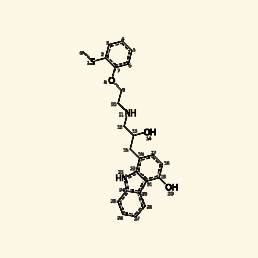 CSc1ccccc1OCCNCC(O)Cc1ccc(O)c2c1[nH]c1ccccc12